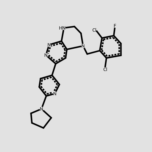 Fc1ccc(Cl)c(CN2CCNc3nnc(-c4ccc(N5CCCC5)nc4)cc32)c1Cl